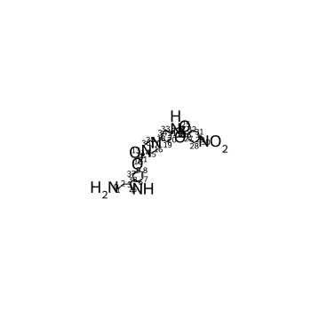 NCCc1c[nH]c2ccc(OCC(=O)N3CCN(c4ccc(NS(=O)(=O)c5ccc([N+](=O)[O-])cc5)cc4)CC3)cc12